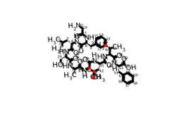 CC(C)C[C@H](NC(=O)[C@H](Cc1ccccc1)NC(=O)CN)C(=O)N[C@@H](CO)C(=O)N[C@@H](C)C(=O)N[C@@H](CO)C(=O)N[C@@H](CC(C)C)C(=O)N[C@H](C(=O)N[C@@H](Cc1ccccc1)C(=O)O)C(C)C